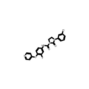 O=C(Nc1ccc(Oc2ccncc2)c(F)c1)N1CCN(c2cccc(Cl)c2)C1=O